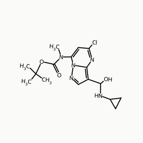 CN(C(=O)OC(C)(C)C)c1cc(Cl)nc2c(C(O)NC3CC3)cnn12